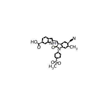 Cc1cc2c(cc1C#N)/C(=C/c1cc3ccc(C(=O)O)cc3[nH]1)C(=O)N2c1ccc(S(C)(=O)=O)cc1